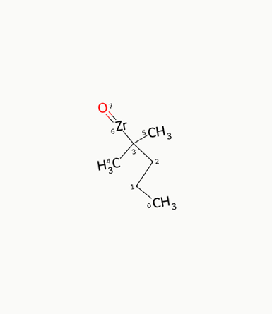 CCC[C](C)(C)[Zr]=[O]